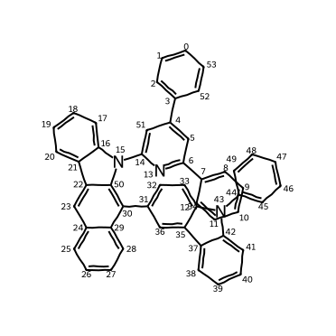 c1ccc(-c2cc(-c3ccccc3)nc(-n3c4ccccc4c4cc5ccccc5c(-c5ccc6c(c5)c5ccccc5n6-c5ccccc5)c43)c2)cc1